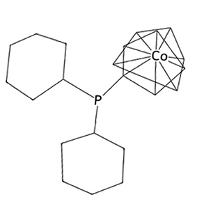 C1CCC(P(C2CCCCC2)[C]23[CH]4[CH]5[CH]6[CH]2[Co]56432789[CH]3[CH]2[CH]7[CH]8[CH]39)CC1